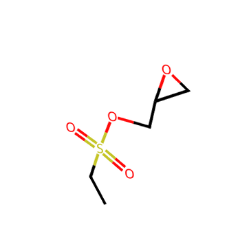 CCS(=O)(=O)OCC1CO1